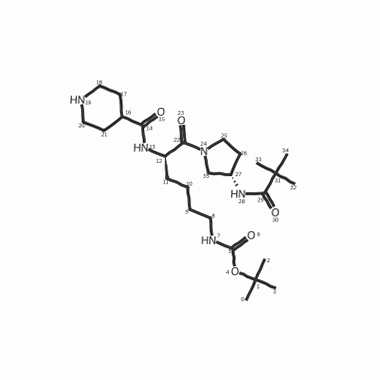 CC(C)(C)OC(=O)NCCCC[C@@H](NC(=O)C1CCNCC1)C(=O)N1CC[C@H](NC(=O)C(C)(C)C)C1